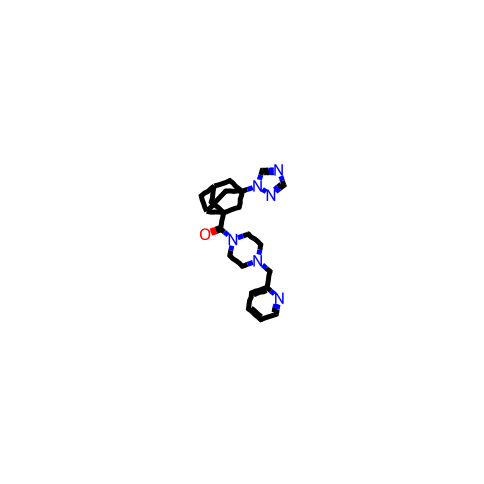 O=C(N1CCN(Cc2ccccn2)CC1)C12CC3CC1CC(n1cncn1)(C3)C2